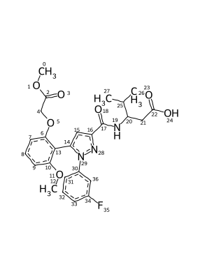 COC(=O)COc1cccc(OC)c1-c1cc(C(=O)NC(CC(=O)O)C(C)C)nn1-c1cccc(F)c1